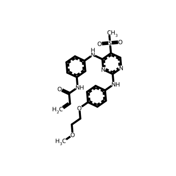 C=CC(=O)Nc1cccc(Nc2nc(Nc3ccc(OCCOC)cc3)ncc2S(C)(=O)=O)c1